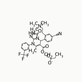 CCC(=O)[O-].COC(=O)C1=C(C)N(c2cccc(C(F)(F)F)c2)c2n[nH]c(=O)n2C1c1ccc(C#N)cc1CC[N+](C)(C)C